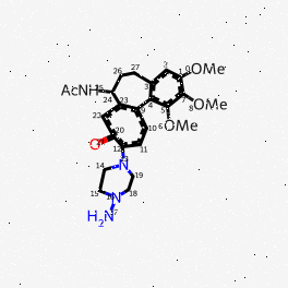 COc1cc2c(c(OC)c1OC)-c1ccc(N3CCN(N)CC3)c(=O)cc1C(NC(C)=O)CC2